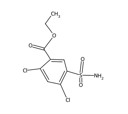 CCOC(=O)c1cc(S(N)(=O)=O)c(Cl)cc1Cl